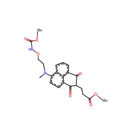 CN(CCONC(=O)OC(C)(C)C)c1ccc2c3c(cccc13)C(=O)C(CCC(=O)OC(C)(C)C)C2=O